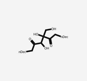 CCCCCCCCCCCC(=O)C(O)C(O)(CO)C(=O)CCCCCCCCCCC